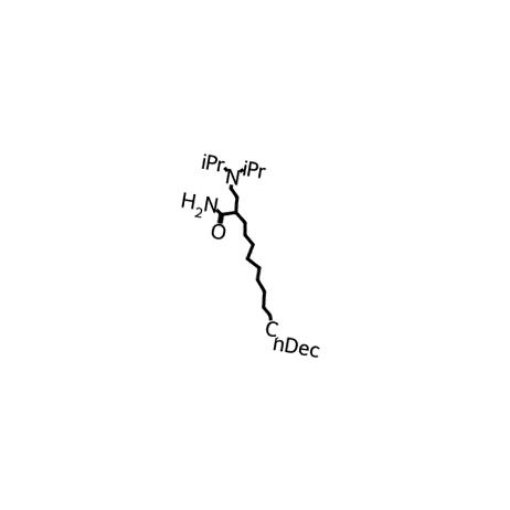 CCCCCCCCCCCCCCCCCCCCC(CCN(C(C)C)C(C)C)C(N)=O